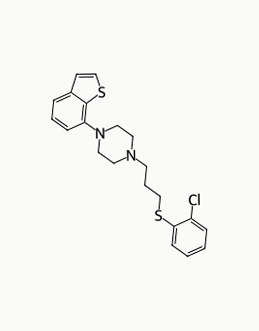 Clc1ccccc1SCCCN1CCN(c2cccc3ccsc23)CC1